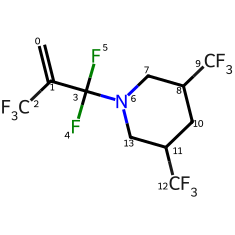 C=C(C(F)(F)F)C(F)(F)N1CC(C(F)(F)F)CC(C(F)(F)F)C1